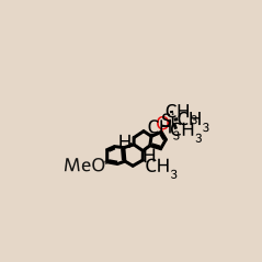 COc1ccc2c(c1)C[C@@H](C)[C@H]1C3=CC=C(O[Si](C)(C)C)[C@@]3(C)CC[C@H]21